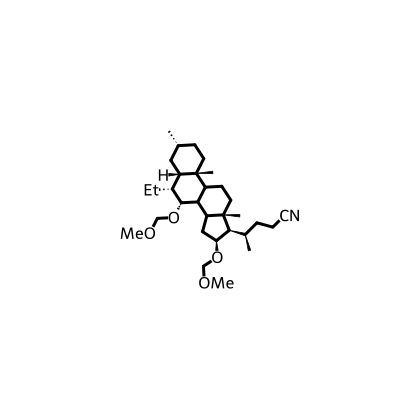 CC[C@H]1[C@@H](OCOC)C2C3C[C@H](OCOC)[C@H]([C@H](C)CCC#N)[C@@]3(C)CCC2[C@@]2(C)CC[C@@H](C)C[C@@H]12